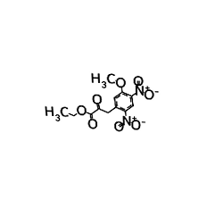 CCOC(=O)C(=O)Cc1cc(OC)c([N+](=O)[O-])cc1[N+](=O)[O-]